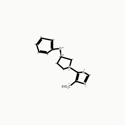 CCOC(=O)c1ncsc1N1CC[C@@H](Oc2ccccc2)C1